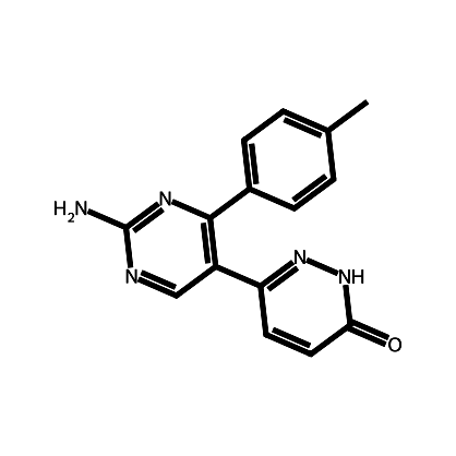 Cc1ccc(-c2nc(N)ncc2-c2ccc(=O)[nH]n2)cc1